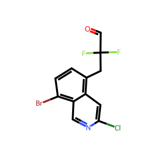 O=CC(F)(F)Cc1ccc(Br)c2cnc(Cl)cc12